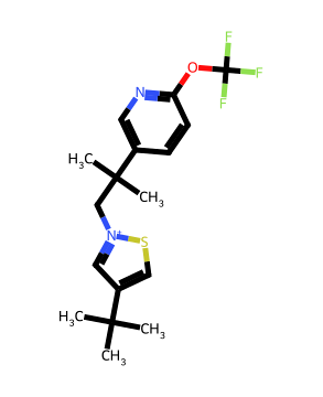 CC(C)(C)c1cs[n+](CC(C)(C)c2ccc(OC(F)(F)F)nc2)c1